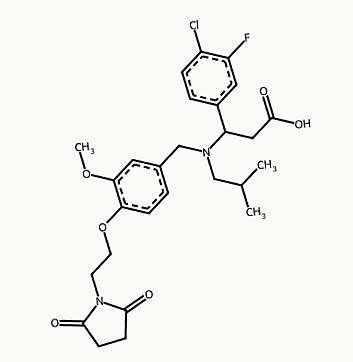 COc1cc(CN(CC(C)C)C(CC(=O)O)c2ccc(Cl)c(F)c2)ccc1OCCN1C(=O)CCC1=O